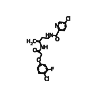 C=C(CCNC(=O)c1ccc(Cl)cn1)NC(=O)COc1ccc(Cl)c(F)c1